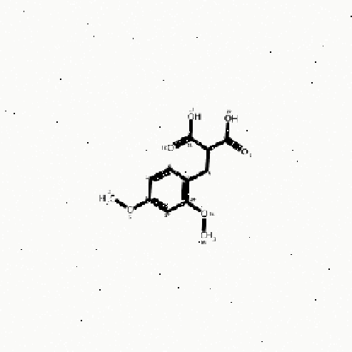 COc1ccc(CC(C(=O)O)C(=O)O)c(OC)c1